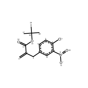 C=C(Cc1ccc(Cl)c([N+](=O)[O-])c1)C(=O)OC(C)(C)I